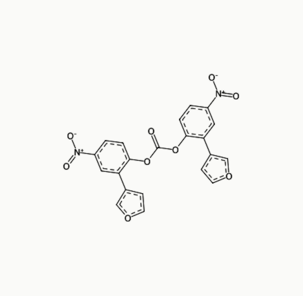 O=C(Oc1ccc([N+](=O)[O-])cc1-c1ccoc1)Oc1ccc([N+](=O)[O-])cc1-c1ccoc1